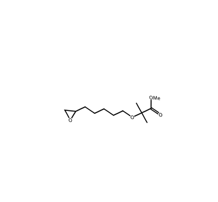 COC(=O)C(C)(C)OCCCCCC1CO1